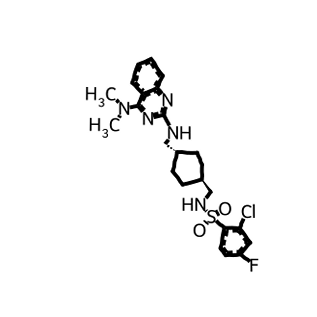 CN(C)c1nc(NC[C@H]2CC[C@H](CNS(=O)(=O)c3ccc(F)cc3Cl)CC2)nc2ccccc12